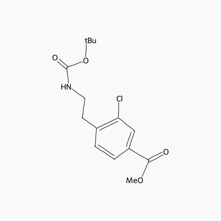 COC(=O)c1ccc(CCNC(=O)OC(C)(C)C)c(Cl)c1